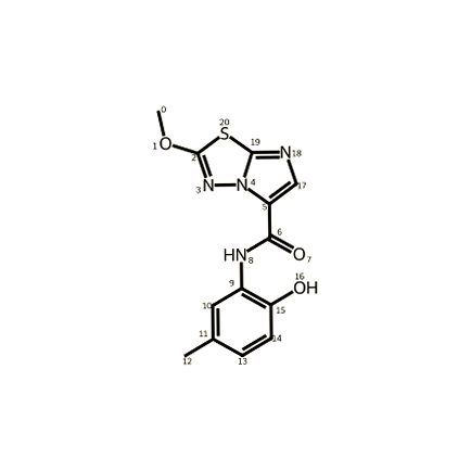 COc1nn2c(C(=O)Nc3cc(C)ccc3O)cnc2s1